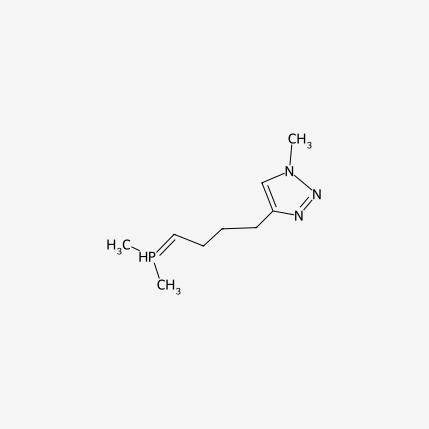 Cn1cc(CCCC=[PH](C)C)nn1